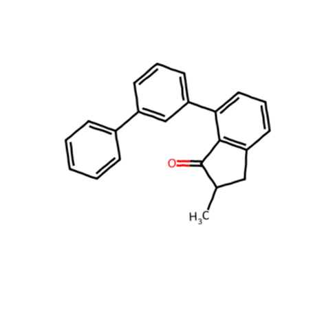 CC1Cc2cccc(-c3cccc(-c4ccccc4)c3)c2C1=O